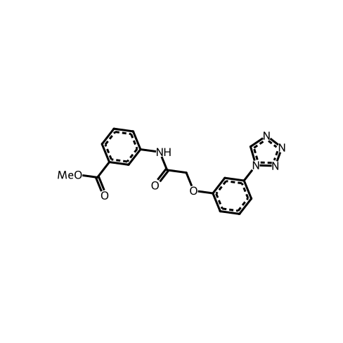 COC(=O)c1cccc(NC(=O)COc2cccc(-n3cnnn3)c2)c1